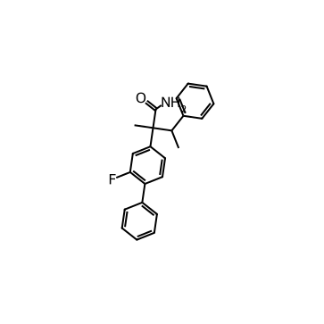 CC(c1ccccc1)C(C)(C(N)=O)c1ccc(-c2ccccc2)c(F)c1